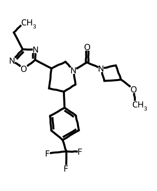 CCc1noc(C2CC(c3ccc(C(F)(F)F)cc3)CN(C(=O)N3CC(OC)C3)C2)n1